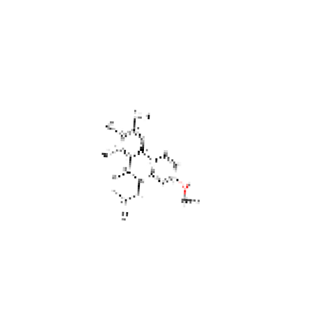 CCCCCOc1ccc(-c2cc(C(=O)O)c(C#N)c(C#N)c2C2CCC(CC)CC2)cc1